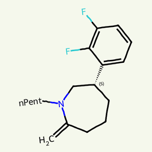 C=C1CCC[C@@H](c2cccc(F)c2F)CN1CCCCC